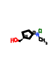 CN(Cl)[C@H]1CC[C@@H](CO)C1